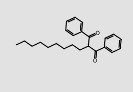 CCCCCCCCCC(C(=O)c1ccccc1)C(=O)c1ccccc1